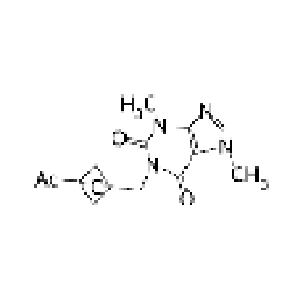 CC(=O)C12CC(Cn3c(=O)c4c(ncn4C)n(C)c3=O)(C1)C2